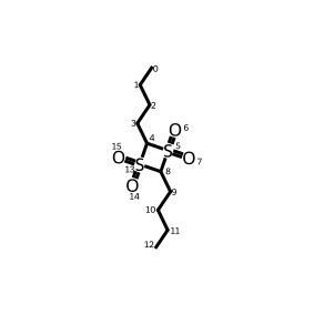 CCCCC1S(=O)(=O)C(CCCC)S1(=O)=O